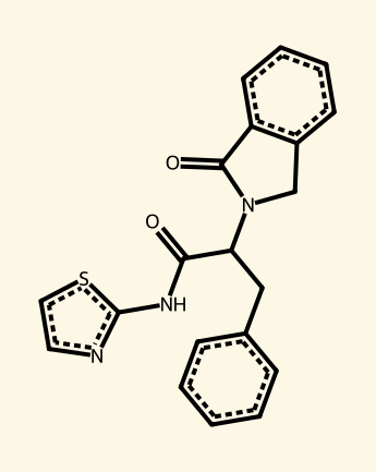 O=C(Nc1nccs1)C(Cc1ccccc1)N1Cc2ccccc2C1=O